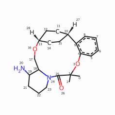 CC1(C)Oc2ccccc2[C@H]2CC[C@H](CC2)OCC2C(N)CCCN2C1=O